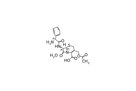 CC(=O)OCC1=C(C(=O)O)N2C(=O)[C@@H](NC(=O)[C@H](N)c3ccccc3)[C@H]2SC1.O